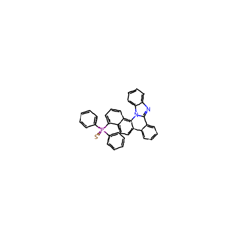 S=P(c1ccccc1)(c1ccccc1)c1cccc2c1ccc1c3ccccc3c3nc4ccccc4n3c21